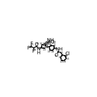 NS(=O)(=O)c1cc(NC(=O)Cc2ccccc2Cl)ccc1-n1cc(NC(=O)C(F)C(F)F)cn1